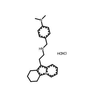 CN(C)c1ccc(CNCCc2c3c(n4ccccc24)CCCC3)cc1.Cl.Cl